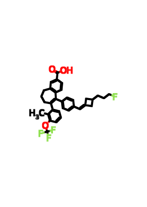 Cc1c(OC(F)(F)F)cccc1C1=C(c2ccc(C=C3CC(CCCF)C3)cc2)c2ccc(C(=O)O)cc2CCC1